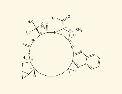 CC(=O)[C@@H]1[C@H](C)[C@@H]2CN1C(=O)[C@H](C(C)(C)C)NC(=O)O[C@@H]1CC3CC3[C@H]1CCCCC(F)(F)c1nc3ccccc3nc1O2